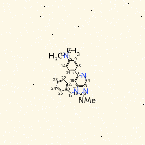 CNc1nc2cnc(-c3ccc(N(C)C)cc3)cc2n1Cc1ccccc1